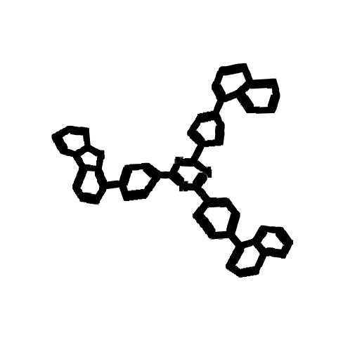 C1=CC2Sc3c(-c4ccc(-c5nc(-c6ccc(-c7cccc8ccccc78)cc6)nc(-c6ccc(-c7cccc8ccccc78)cc6)n5)cc4)cccc3C2C=C1